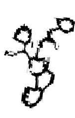 O=C(Cc1ccccc1)Nc1nc2c(nc1C(O)c1ccccc1)-c1ccccc1CC2